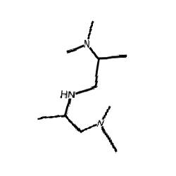 CC(CN(C)C)NCC(C)N(C)C